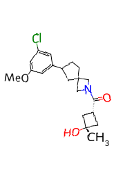 COc1cc(Cl)cc(C2CCC3(C2)CN(C(=O)[C@H]2C[C@@](C)(O)C2)C3)c1